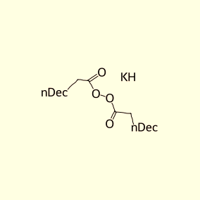 CCCCCCCCCCCC(=O)OOC(=O)CCCCCCCCCCC.[KH]